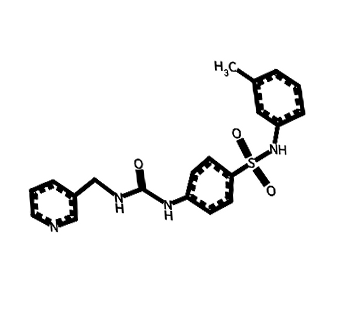 Cc1cccc(NS(=O)(=O)c2ccc(NC(=O)NCc3cccnc3)cc2)c1